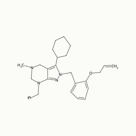 C=CCOc1ccccc1Cn1nc2c(c1C1CCCCC1)CN(C)CN2CC(C)C